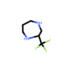 FC(F)(F)C1CNCCCN1